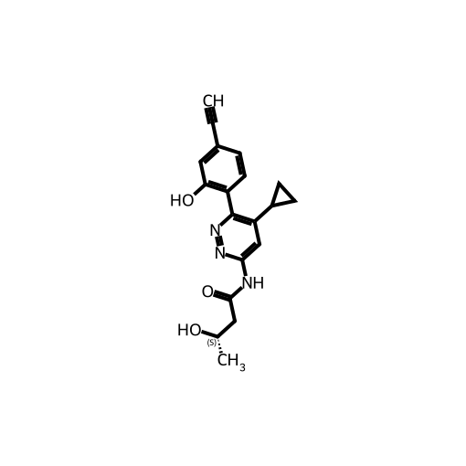 C#Cc1ccc(-c2nnc(NC(=O)C[C@H](C)O)cc2C2CC2)c(O)c1